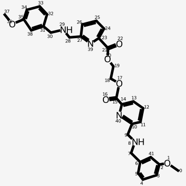 COc1cccc(CNCc2cccc(C(=O)OCCOC(=O)c3cccc(CNCc4cccc(OC)c4)n3)n2)c1